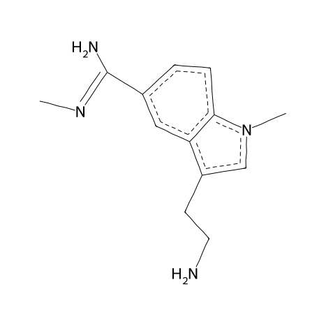 CN=C(N)c1ccc2c(c1)c(CCN)cn2C